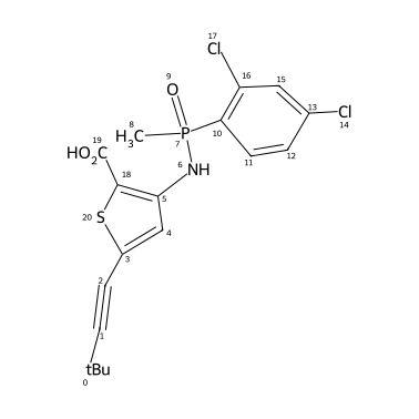 CC(C)(C)C#Cc1cc(NP(C)(=O)c2ccc(Cl)cc2Cl)c(C(=O)O)s1